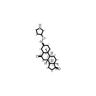 C[C@]12CC/C(=N\OC3CCNC3)CC1C(=O)C[C@@H]1[C@@H]2CC[C@]2(C)C(=O)CC[C@@H]12